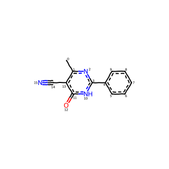 Cc1nc(-c2ccccc2)[nH]c(=O)c1C#N